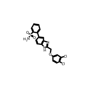 NS(=O)(=O)c1ccccc1-c1ccc2[nH]c(COc3ccc(Cl)c(Cl)c3)nc2c1